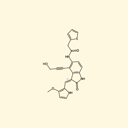 COc1cc[nH]c1/C=C1\C(=O)Nc2ccc(NC(=O)Cc3cccs3)c(C#CCO)c21